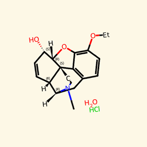 CCOc1ccc2c3c1O[C@H]1[C@@H](O)C=C[C@H]4[C@@H](C2)N(C)CC[C@@]341.Cl.O